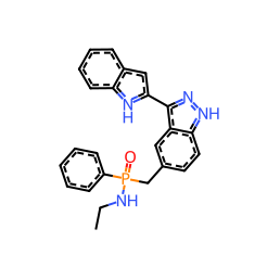 CCNP(=O)(Cc1ccc2[nH]nc(-c3cc4ccccc4[nH]3)c2c1)c1ccccc1